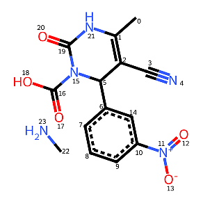 CC1=C(C#N)C(c2cccc([N+](=O)[O-])c2)N(C(=O)O)C(=O)N1.CN